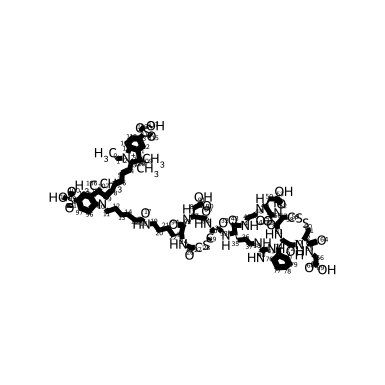 CC[N+]1=C(/C=C/C=C/C=C2/N(CCCCCC(=O)NCCCC[C@@H]3NC(=O)CSC[C@@H](C(=O)N[C@@H](CCCNC(=N)N)C(=O)NCC(=O)N[C@@H](CC(=O)O)C(=O)N[C@H]4CSSC[C@@H](C(=O)NCC(=O)O)NC(=O)[C@H](Cc5ccccc5)NC4=O)NC(=O)[C@H](CC(=O)O)NC3=O)c3ccc(S(=O)(=O)O)cc3C2(C)C)C(C)(C)c2cc(S(=O)(=O)O)ccc21